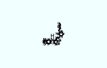 CCOCCN1CCC[C@H](c2cc3c(Nc4ccc5scnc5c4)ccnc3s2)[C@H]1C